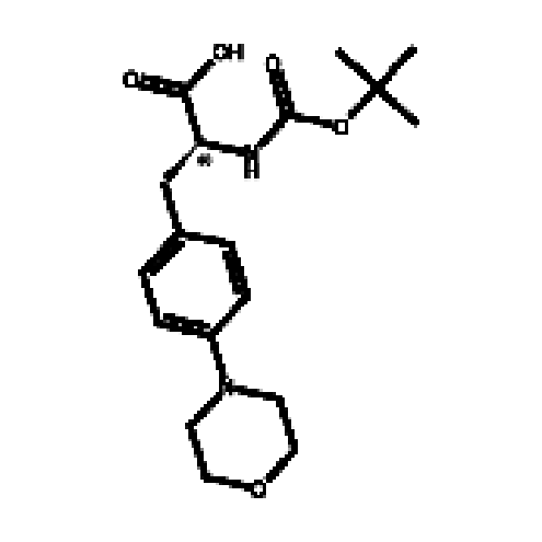 CC(C)(C)OC(=O)N[C@H](Cc1ccc(N2CCOCC2)cc1)C(=O)O